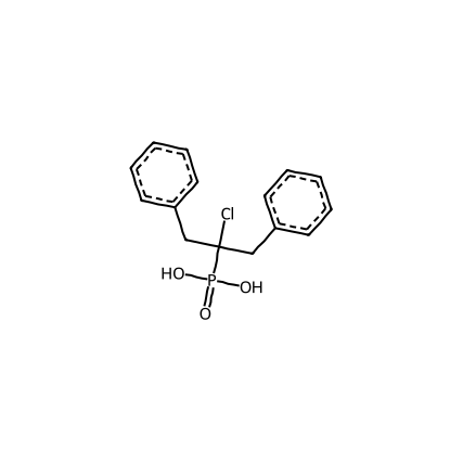 O=P(O)(O)C(Cl)(Cc1ccccc1)Cc1ccccc1